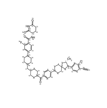 C[C@H]1CC2(CCN(c3ccc(C(=O)N4CCC(CN5CCN(c6ccc(C(=O)N[C@H]7CCC(=O)NC7=O)c(F)c6)CC5)CC4)cc3)CC2)CN1c1ccc(C#N)c(Cl)c1